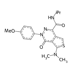 COc1ccc(-n2nc(C(=O)NC(C)C)c3csc(N(C)C)c3c2=O)cc1